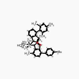 CC1=Cc2c(-c3ccc(C(C)(C)C)cc3)ccc(C)c2[CH]1[Zr]([CH3])([CH3])(=[SiH2])[CH]1C(C(C)C)=Cc2c(-c3c(C)cc(C)cc3C)cccc21.Cl.Cl